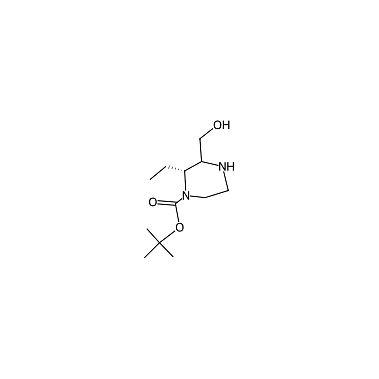 CC[C@@H]1C(CO)NCCN1C(=O)OC(C)(C)C